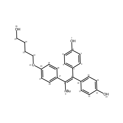 CCCCC(=C(c1ccc(O)cc1)c1ccc(O)cc1)c1ccc(OCCCCO)cc1